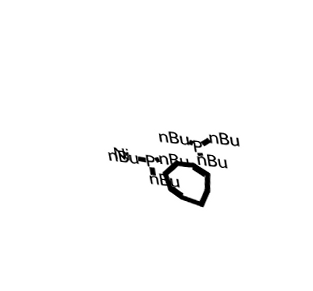 C1=C\CC/C=C\CC/1.CCCCP(CCCC)CCCC.CCCCP(CCCC)CCCC.[Ni]